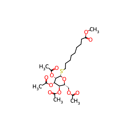 COC(=O)CCCCCCCCS[C@@H]1O[C@H](COC(C)=O)[C@@H](OC(C)=O)[C@H](OC(C)=O)[C@@H]1OC(C)=O